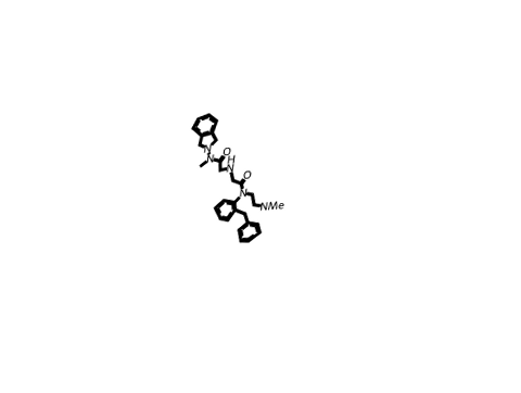 CNCCN(C(=O)CNCC(=O)N(C)N1Cc2ccccc2C1)c1ccccc1Cc1ccccc1